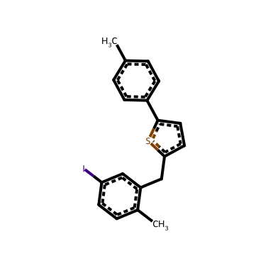 Cc1ccc(-c2ccc(Cc3cc(I)ccc3C)s2)cc1